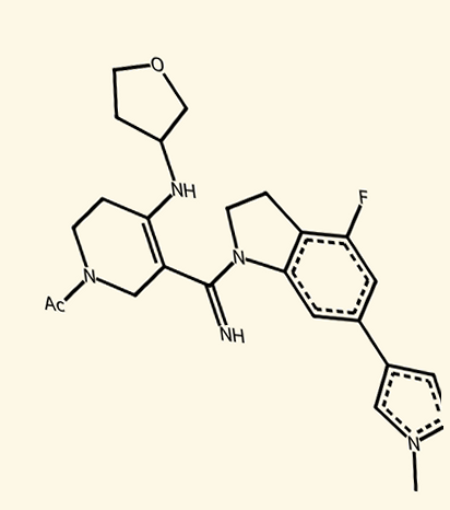 CC(=O)N1CCC(NC2CCOC2)=C(C(=N)N2CCc3c(F)cc(-c4cnn(C)c4)cc32)C1